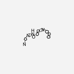 N#Cc1ccc(CN2CCC(NC(=O)c3cccc(OC4CCN(Cc5ccc(Oc6ccccc6)cc5)CC4)c3)CC2)cc1